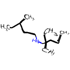 C=CC(C)(C)NCCC(C)C